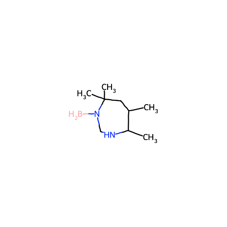 BN1CNC(C)C(C)CC1(C)C